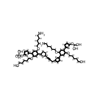 NCCCCCOc1cc(-c2ccc(OP(O)O)s2)c(OCCCCCO)cc1-c1ccc(CC#CC2CCC(c3cc(OCCCCCO)c(-c4ccc(O[PH](=O)O)s4)cc3OCCCCCN)S2)s1